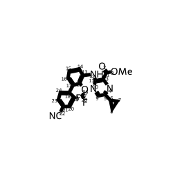 COC(=O)c1nc(C2CC2)cnc1Nc1cccc(-c2ccc(C#N)cc2)c1OC(F)F